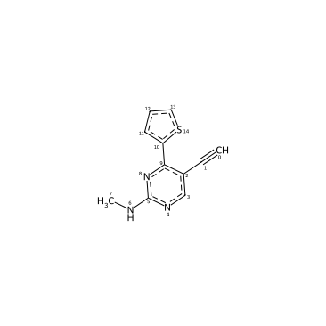 C#Cc1cnc(NC)nc1-c1cccs1